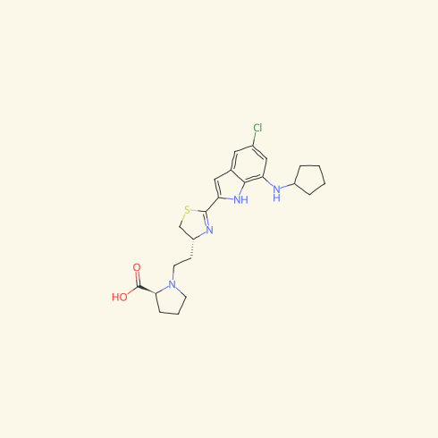 O=C(O)[C@@H]1CCCN1CC[C@@H]1CSC(c2cc3cc(Cl)cc(NC4CCCC4)c3[nH]2)=N1